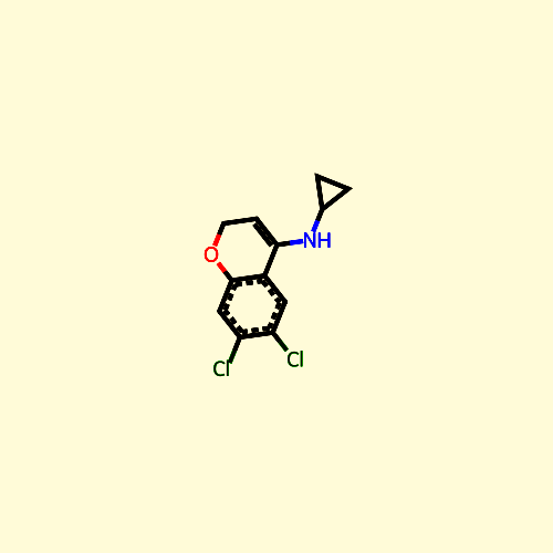 Clc1cc2c(cc1Cl)C(NC1CC1)=CCO2